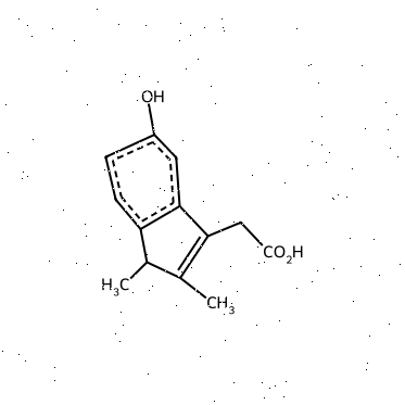 CC1=C(CC(=O)O)c2cc(O)ccc2C1C